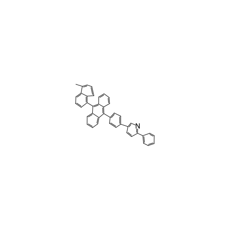 Cc1cccc2c(-c3c4ccccc4c(-c4ccc(-c5ccc(-c6ccccc6)nc5)cc4)c4ccccc34)cccc12